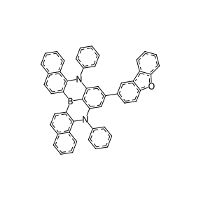 c1ccc(N2c3cc(-c4ccc5oc6ccccc6c5c4)cc4c3B(c3ccc5ccccc5c32)c2ccc3ccccc3c2N4c2ccccc2)cc1